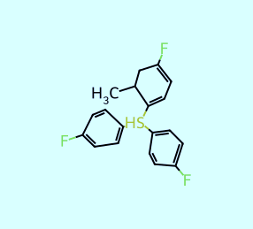 CC1CC(F)=CC=C1[SH](c1ccc(F)cc1)c1ccc(F)cc1